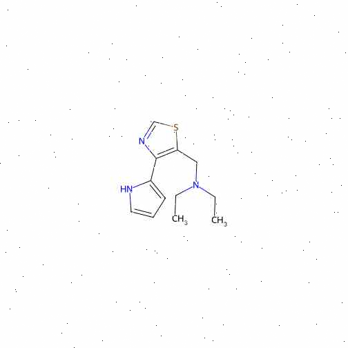 CCN(CC)Cc1s[c]nc1-c1ccc[nH]1